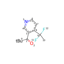 CC(C)(C)C(=O)c1cnccc1C(C)(F)F